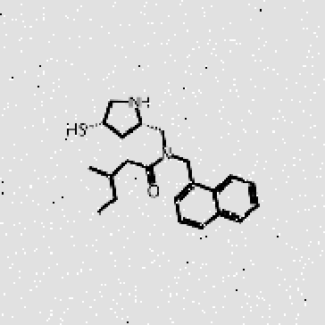 CCC(C)CC(=O)N(Cc1cccc2ccccc12)C[C@@H]1C[C@H](S)CN1